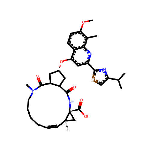 COc1ccc2c(O[C@@H]3CC4C(=O)N[C@]5(C(=O)O)C[C@H]5/C=C\CCCCN(C)C(=O)C4C3)cc(-c3nc(C(C)C)cs3)nc2c1C